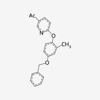 CC(=O)c1ccc(Oc2ccc(OCc3ccccc3)cc2C)nc1